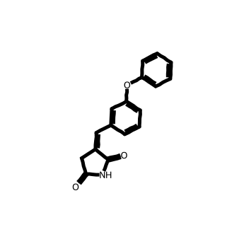 O=C1C/C(=C/c2cccc(Oc3ccccc3)c2)C(=O)N1